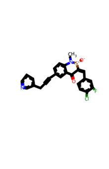 CN1c2ccc(C#CCc3cccnc3)cc2C(=O)/C(=C\c2ccc(Cl)c(F)c2)[S+]1[O-]